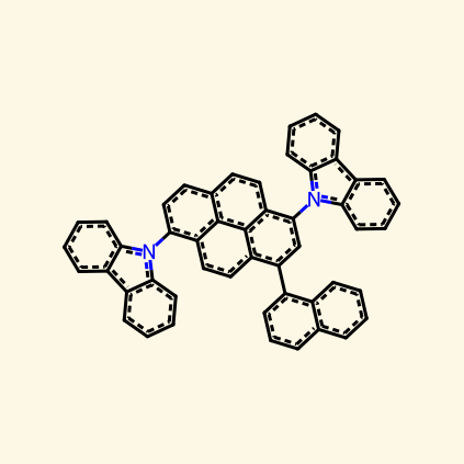 c1ccc2c(-c3cc(-n4c5ccccc5c5ccccc54)c4ccc5ccc(-n6c7ccccc7c7ccccc76)c6ccc3c4c56)cccc2c1